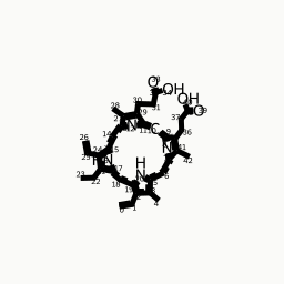 C=Cc1c(C)c2cc3nc(cc4nc(cc5[nH]c(cc1[nH]2)c(CC)c5C=C)C(C)=C4CCC(=O)O)C(CCC(=O)O)=C3C